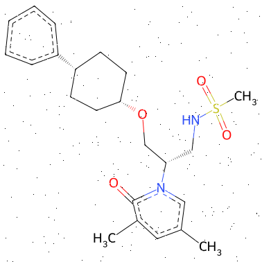 Cc1cc(C)c(=O)n([C@@H](CNS(C)(=O)=O)CO[C@H]2CC[C@@H](c3ccccc3)CC2)c1